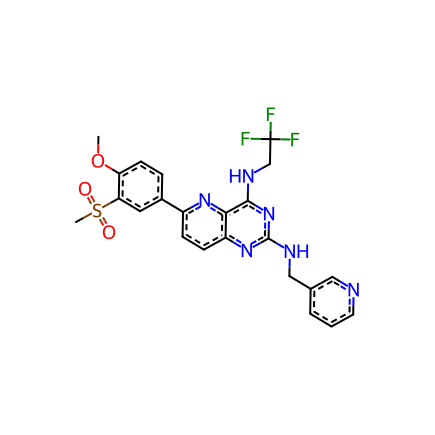 COc1ccc(-c2ccc3nc(NCc4cccnc4)nc(NCC(F)(F)F)c3n2)cc1S(C)(=O)=O